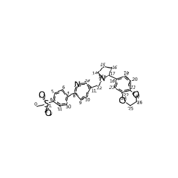 CS(=O)(=O)c1ccc(-c2ccc(CN3CCCC3c3ccc4c(c3)OCCO4)cn2)cc1